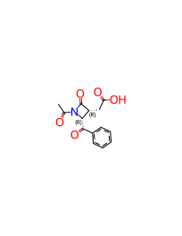 CC(=O)N1C(=O)[C@H](CC(=O)O)[C@@H]1C(=O)c1ccccc1